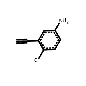 C#Cc1cc(N)ccc1Cl